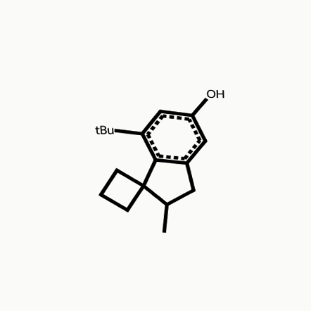 CC1Cc2cc(O)cc(C(C)(C)C)c2C12CCC2